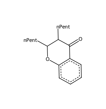 CCCCCC1Oc2ccccc2C(=O)C1CCCCC